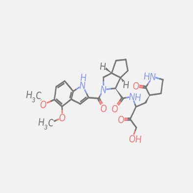 COc1ccc2[nH]c(C(=O)N3C[C@@H]4CCC[C@@H]4[C@H]3C(=O)NC(C[C@@H]3CCNC3=O)C(=O)CO)cc2c1OC